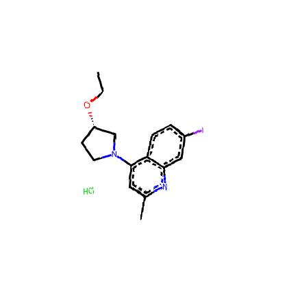 CCO[C@H]1CCN(c2cc(C)nc3cc(I)ccc23)C1.Cl